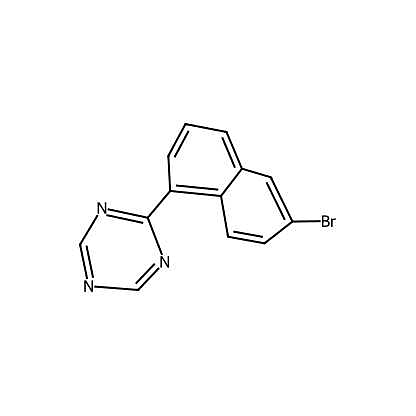 Brc1ccc2c(-c3ncncn3)cccc2c1